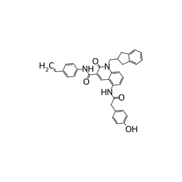 C=Cc1ccc(NC(=O)c2cc3c(NC(=O)Cc4ccc(O)cc4)cccc3n(CC3Cc4ccccc4C3)c2=O)cc1